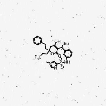 Cn1cnc(S(=O)(=O)Nc2cccc(C(C3=C(O)C[C@@](CCc4ccccc4)(CCC(F)(F)F)OC3=O)C(C)(C)C)c2)c1